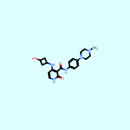 CN1CCN(c2ccc(NC(=O)c3c(NC4CC(O)C4)cc[nH]c3=O)cc2)CC1